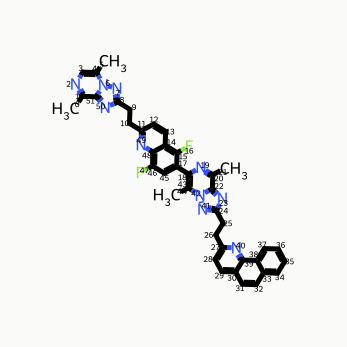 Cc1ncc(C)n2nc(CCc3ccc4c(F)c(-c5nc(C)c6nc(CCc7ccc8ccc9ccccc9c8n7)nn6c5C)cc(F)c4n3)nc12